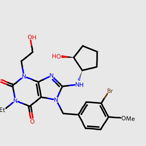 CCn1c(=O)c2c(nc(N[C@H]3CCC[C@@H]3O)n2Cc2ccc(OC)c(Br)c2)n(CCO)c1=O